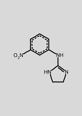 O=[N+]([O-])c1cccc(NC2=NCCN2)c1